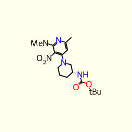 CNc1nc(C)cc(N2CCC[C@@H](NC(=O)OC(C)(C)C)C2)c1[N+](=O)[O-]